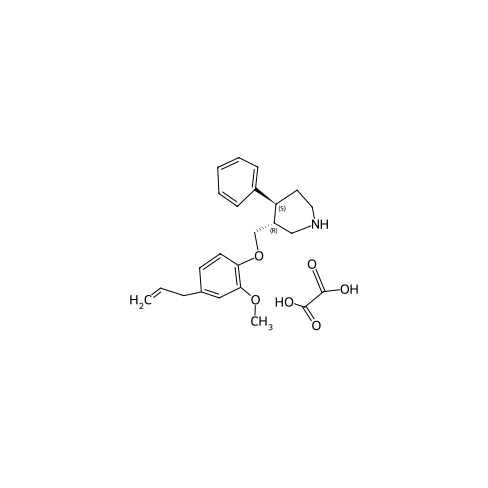 C=CCc1ccc(OC[C@H]2CNCC[C@@H]2c2ccccc2)c(OC)c1.O=C(O)C(=O)O